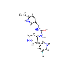 CC(C)COc1ccc(CNC(=O)N(Cc2ccc(F)cn2)C2CCNCC2)cn1